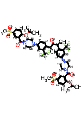 CC(C)Oc1ccc(S(C)(=O)=O)cc1C(=O)N1CCN(c2ccc(C(C)C(=O)C(C)c3ccc(N4CCN(C(=O)c5cc(S(C)(=O)=O)ccc5OC(C)C)CC4)cc3C(F)(F)F)c(C(F)(F)F)c2)CC1